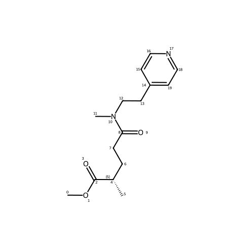 COC(=O)[C@@H](C)CCC(=O)N(C)CCc1ccncc1